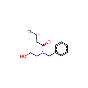 O=C(CCCl)N(CCO)Cc1ccccc1